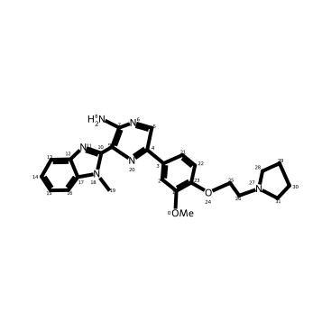 COc1cc(-c2cnc(N)c(-c3nc4ccccc4n3C)n2)ccc1OCCN1CCCC1